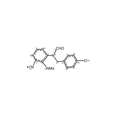 CNc1c(N)ncnc1N(C=O)Cc1ccc(Cl)cc1